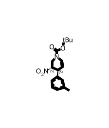 Cc1cccc([C@@H]2C=CN(C(=O)OC(C)(C)C)C[C@H]2[N+](=O)[O-])c1